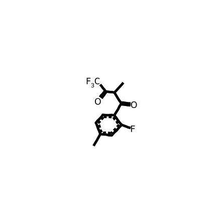 Cc1ccc(C(=O)C(C)C(=O)C(F)(F)F)c(F)c1